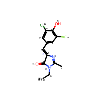 CC1=N/C(=C\c2cc(F)c(O)c(Cl)c2)C(=O)N1CC(C)C